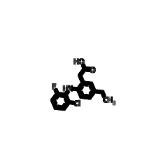 CCc1ccc(Nc2c(F)cccc2Cl)c(CC(=O)O)c1